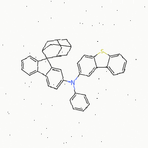 c1ccc(N(c2ccc3c(c2)C2(c4ccccc4-3)C3CC4CC(C3)CC2C4)c2ccc3sc4ccccc4c3c2)cc1